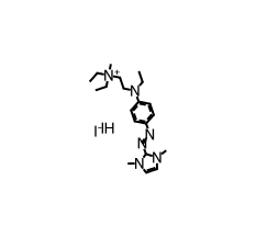 CCN(CC[N+](C)(CC)CC)c1ccc(N=NC2N(C)C=CN2C)cc1.I.[I-]